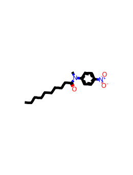 CCCCCCCCCC(=O)N(C)c1ccc([N+](=O)[O-])cc1